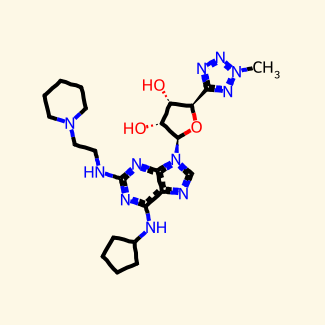 Cn1nnc([C@H]2O[C@@H](n3cnc4c(NC5CCCC5)nc(NCCN5CCCCC5)nc43)[C@H](O)[C@@H]2O)n1